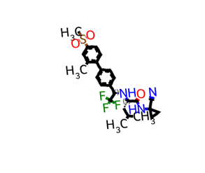 Cc1cc(S(C)(=O)=O)ccc1-c1ccc([C@H](N[C@@H](CC(C)C)C(=O)NC2(C#N)CC2)C(F)(F)F)cc1